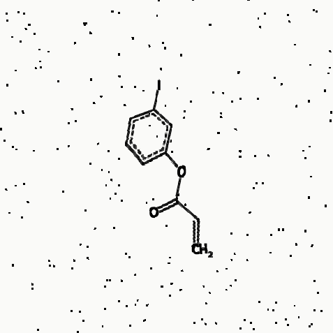 C=CC(=O)Oc1cccc(I)c1